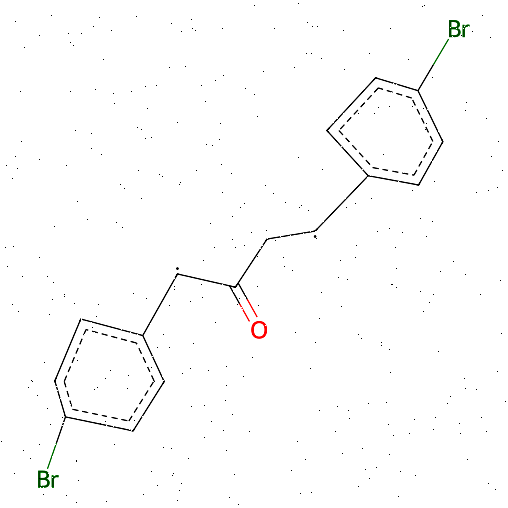 O=C([CH]c1ccc(Br)cc1)C[CH]c1ccc(Br)cc1